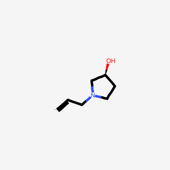 [CH]=CCN1CC[C@H](O)C1